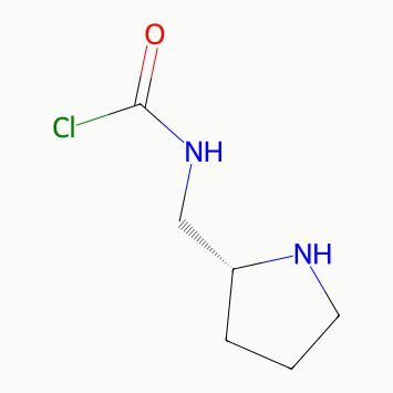 O=C(Cl)NC[C@H]1CCCN1